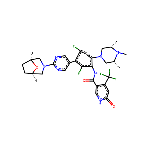 C[C@@H]1CN(c2cc(F)c(-c3cnc(N4C[C@H]5CC[C@@H](C4)O5)nc3)c(F)c2NC(=O)c2c[nH]c(=O)cc2C(F)(F)F)C[C@H](C)N1C